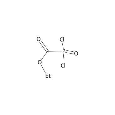 CCOC(=O)P(=O)(Cl)Cl